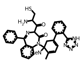 CNC1(N2C(=O)C(C(=O)C(N)CS)N=C(c3ccccc3)c3ccccc32)CC(c2ccccc2-c2nnn[nH]2)=CC=C1C